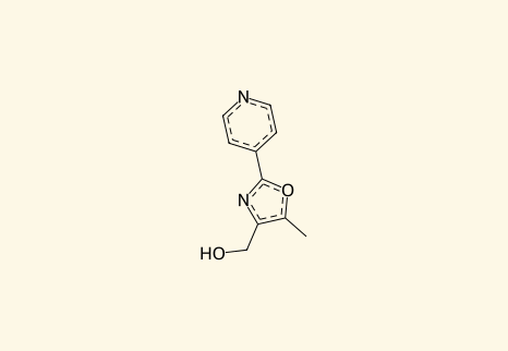 Cc1oc(-c2ccncc2)nc1CO